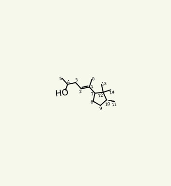 CC(=CCC(C)O)C1CC[C@H](C)C1(C)C